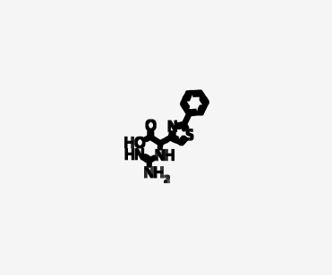 N=C(N)NC(C(=O)O)c1csc(-c2ccccc2)n1